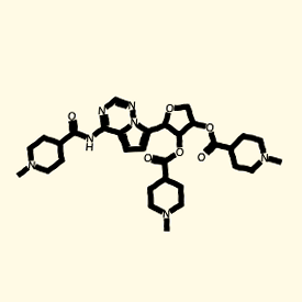 CN1CCC(C(=O)Nc2ncnn3c(C4OCC(OC(=O)C5CCN(C)CC5)C4OC(=O)C4CCN(C)CC4)ccc23)CC1